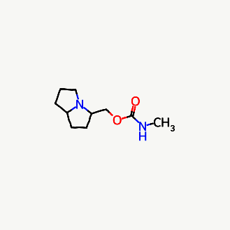 CNC(=O)OCC1CCC2CCCN21